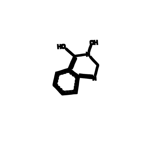 OC1=c2ccccc2=NCN1O